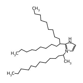 CCCCCCCCCCCC(C)[n+]1cc[nH]c1C(CCCCCCCCC)CCCCCCCCC